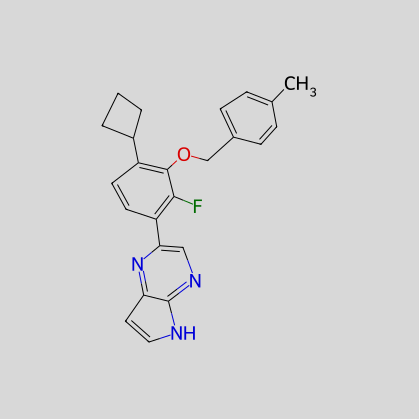 Cc1ccc(COc2c(C3CCC3)ccc(-c3cnc4[nH]ccc4n3)c2F)cc1